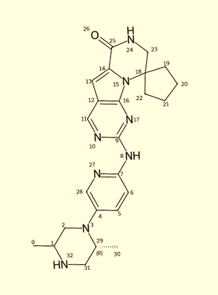 CC1CN(c2ccc(Nc3ncc4cc5n(c4n3)C3(CCCC3)CNC5=O)nc2)[C@H](C)CN1